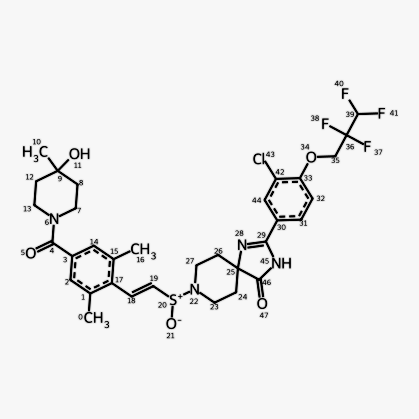 Cc1cc(C(=O)N2CCC(C)(O)CC2)cc(C)c1/C=C/[S+]([O-])N1CCC2(CC1)N=C(c1ccc(OCC(F)(F)C(F)F)c(Cl)c1)NC2=O